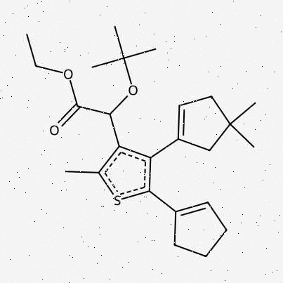 CCOC(=O)C(OC(C)(C)C)c1c(C)sc(C2=CCCC2)c1C1=CCC(C)(C)C1